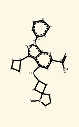 CN1CCCC12CC(Oc1cc(C(=O)O)nc3c1c(C1CCC1)nn3-c1ccccc1)C2